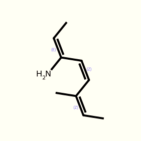 C\C=C(C)/C=C\C(N)=C/C